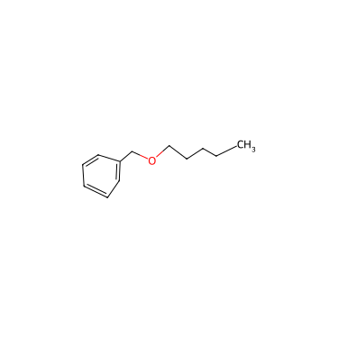 CCCCCOCc1ccccc1